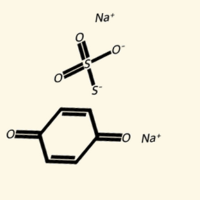 O=C1C=CC(=O)C=C1.O=S(=O)([O-])[S-].[Na+].[Na+]